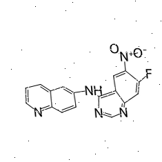 O=[N+]([O-])c1cc2c(Nc3ccc4ncccc4c3)ncnc2cc1F